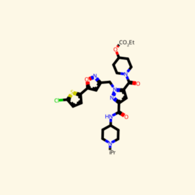 CCOC(=O)OC1CCN(C(=O)c2cc(C(=O)NC3CCN(C(C)C)CC3)nn2Cc2cc(-c3ccc(Cl)s3)on2)CC1